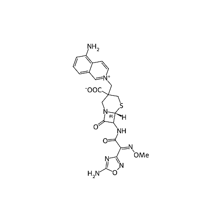 CON=C(C(=O)NC1C(=O)N2CC(C[n+]3ccc4c(N)cccc4c3)(C(=O)[O-])CS[C@H]12)c1noc(N)n1